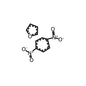 O=[N+]([O-])c1ccc([N+](=O)[O-])cc1.c1ccoc1